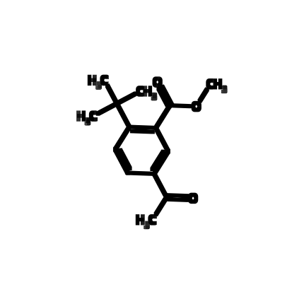 COC(=O)c1cc(C(C)=O)ccc1C(C)(C)C